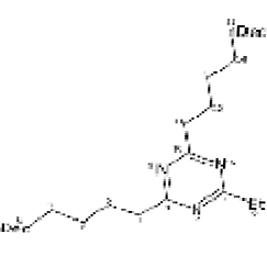 [CH2]Cc1nc(CCCCCCCCCCCCCC)nc(CCCCCCCCCCCCCC)n1